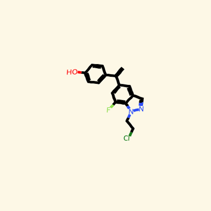 C=C(c1ccc(O)cc1)c1cc(F)c2c(cnn2CCCl)c1